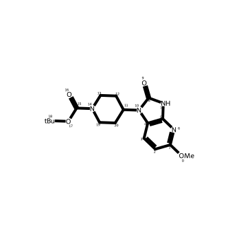 COc1ccc2c(n1)[nH]c(=O)n2C1CCN(C(=O)OC(C)(C)C)CC1